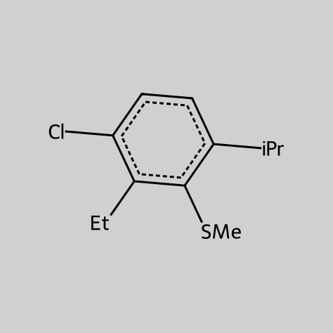 CCc1c(Cl)ccc(C(C)C)c1SC